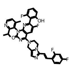 Cc1ccnc(C(C)C)c1-n1c(=O)nc(N2CCn3c(cnc3/C=C/c3ccc(F)cc3F)C2)c2cc(F)c(-c3c(O)cccc3F)nc21